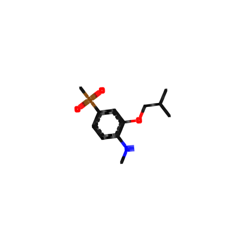 CNc1ccc(S(C)(=O)=O)cc1OCC(C)C